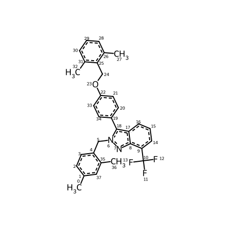 Cc1ccc(Cn2nc3c(C(F)(F)F)cccc3c2-c2ccc(OCc3c(C)cccc3C)cc2)c(C)c1